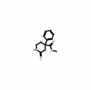 COC(=O)C1(c2ccccc2)CCNC(=O)C1